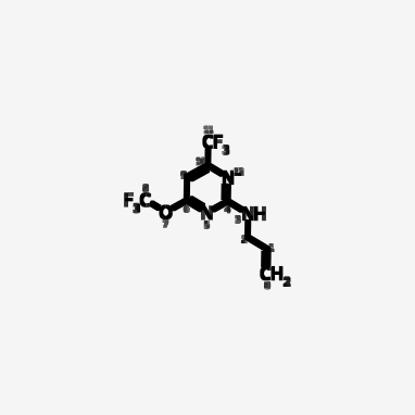 C=CCNc1nc(OC(F)(F)F)cc(C(F)(F)F)n1